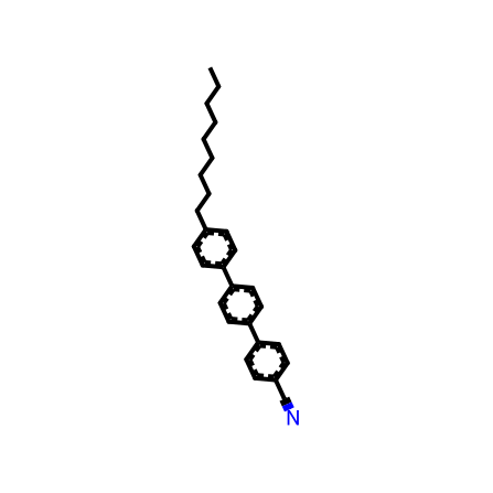 CCCCCCCCCc1ccc(-c2ccc(-c3ccc(C#N)cc3)cc2)cc1